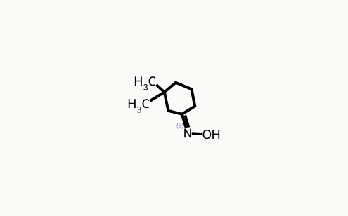 CC1(C)CCC/C(=N\O)C1